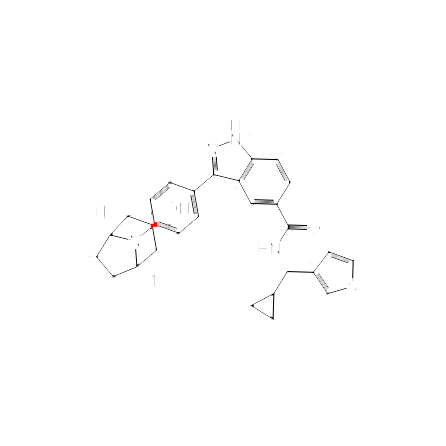 O=C(N[C@H](c1ccsc1)C1CC1)c1ccc2[nH]nc(-c3ccc(N4[C@@H]5CC[C@H]4C[C@H](O)C5)cc3)c2c1